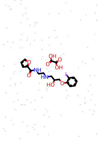 O=C(NCCNCC(O)COc1ccccc1I)c1ccco1.O=C(O)C(=O)O